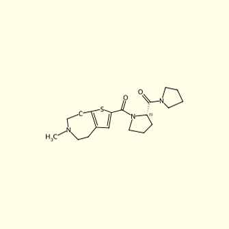 CN1CCc2cc(C(=O)N3CCC[C@H]3C(=O)N3CCCC3)sc2CC1